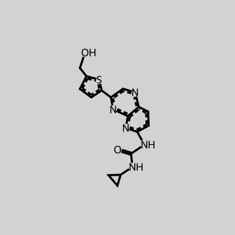 O=C(Nc1ccc2ncc(-c3ccc(CO)s3)nc2n1)NC1CC1